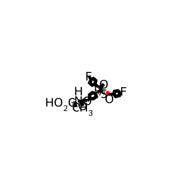 C[C@@H](NC(=O)COc1ccc([C@@H]2[C@@H](SCC(=O)c3ccc(F)cc3)C(=O)N2c2ccc(F)cc2)cc1)C(=O)O